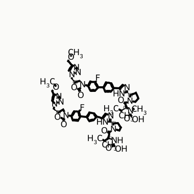 COCc1cn(C[C@H]2CN(c3ccc(-c4ccc(-c5cnc([C@@H]6CCCN6C(=O)[C@@H](NC(=O)O)C(C)C)[nH]5)cc4)c(F)c3)C(=O)O2)nn1.COCc1cn(C[C@H]2CN(c3ccc(-c4ccc(-c5cnc([C@@H]6CCCN6C(=O)[C@H](C(C)C)N(C)C(=O)O)[nH]5)cc4)c(F)c3)C(=O)O2)nn1